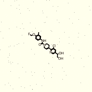 Cc1cc(NC(=O)N2CC=C(c3ncc([C@@H](O)CO)cc3Cl)CC2)ccc1OCF